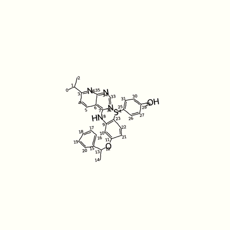 CC(C)c1ccc2c(Nc3cc(OC(C)c4ccccc4)ccc3Sc3ccc(O)cc3)ncnc2n1